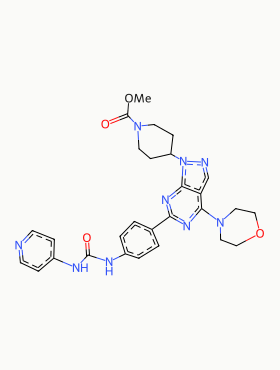 COC(=O)N1CCC(n2ncc3c(N4CCOCC4)nc(-c4ccc(NC(=O)Nc5ccncc5)cc4)nc32)CC1